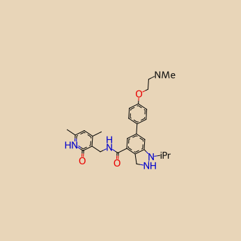 CNCCOc1ccc(-c2cc(C(=O)NCc3c(C)cc(C)[nH]c3=O)c3c(c2)N(C(C)C)NC3)cc1